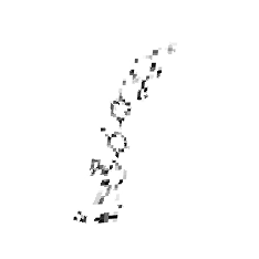 CC(=O)NC[C@H]1CN(c2ccc(-c3ccc(CN4C[C@@H](CF)OC4=O)cc3)c(F)c2)C(=O)O1